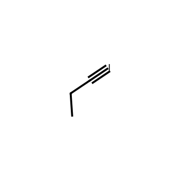 CCC#I